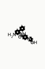 Nc1ccc(-c2ccccc2)c(NC(=O)c2ccc(N3CC[C@H](O)C3)cc2)c1